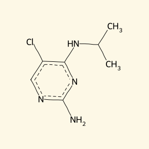 CC(C)Nc1nc(N)ncc1Cl